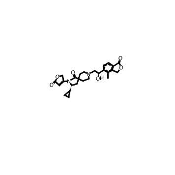 Cc1c([C@@H](O)CN2CCC3(CC2)C[C@H](C2CC2)N(C2=CC(=O)OC2)C3=O)ccc2c1COC2=O